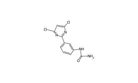 NC(=O)Nc1cccc(-c2nc(Cl)cc(Cl)n2)c1